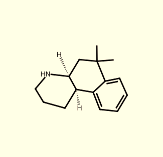 CC1(C)C[C@@H]2NCCC[C@@H]2c2ccccc21